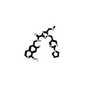 COCc1nc(C(=O)NCc2cc3ccnc(N)c3cc2F)nn1Cc1cnc(N2CCCC2)nc1